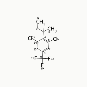 CCC(C)c1c(Cl)cc(C(F)(F)F)cc1Cl